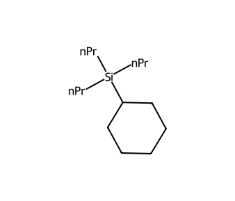 CCC[Si](CCC)(CCC)C1CCCCC1